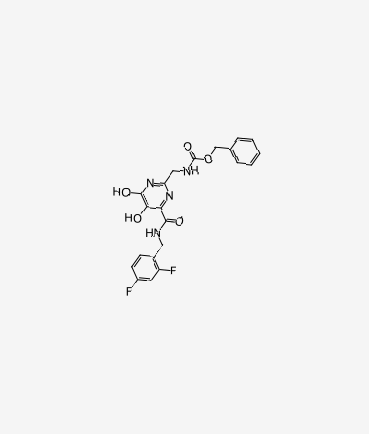 O=C(NCc1nc(O)c(O)c(C(=O)NCc2ccc(F)cc2F)n1)OCc1ccccc1